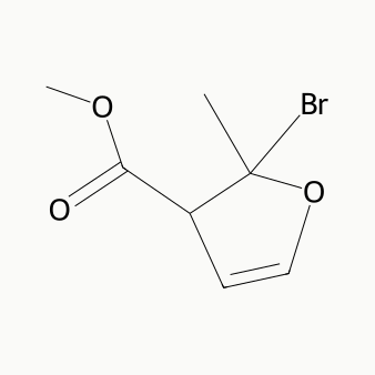 COC(=O)C1C=COC1(C)Br